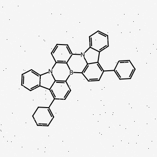 C1=CCCC(c2ccc3c4c2c2ccccc2n4-c2cccc4c2B3c2ccc(-c3ccccc3)c3c5ccccc5n-4c23)=C1